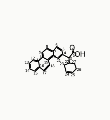 O=C(O)C(c1ccc2ccc3c4ccccc4ccc3c2c1)C1CC=CCC1